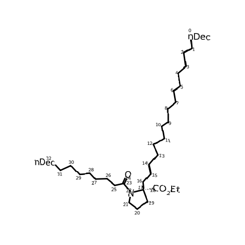 CCCCCCCCCCCCCCCCCCCCCCCCCC[C@@]1(C(=O)OCC)CCCN1C(=O)CCCCCCCCCCCCCCCCC